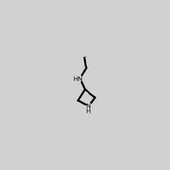 [CH2]CNC1CNC1